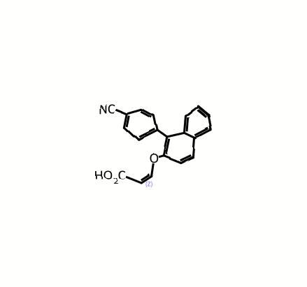 N#Cc1ccc(-c2c(O/C=C\C(=O)O)ccc3ccccc23)cc1